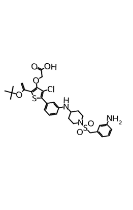 C=C(OC(C)(C)C)c1sc(-c2cccc(NC3CCN(S(=O)(=O)Cc4cccc(N)c4)CC3)c2)c(Cl)c1OCC(=O)O